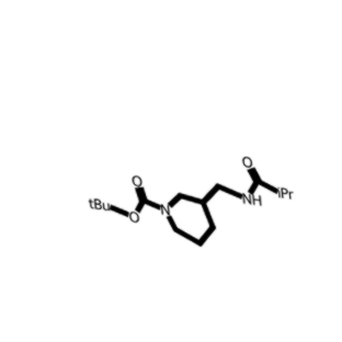 CC(C)C(=O)NCC1CCCN(C(=O)OC(C)(C)C)C1